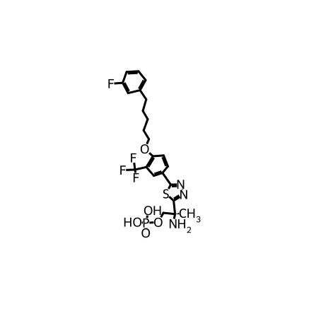 C[C@](N)(COP(=O)(O)O)c1nnc(-c2ccc(OCCCCCc3cccc(F)c3)c(C(F)(F)F)c2)s1